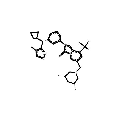 C[C@@H]1C[C@H](C)CN(Cc2cc(C(F)(F)F)c3cn(-c4cccc([C@H](c5nncn5C)C5CCC5)c4)c(=O)n3c2)C1